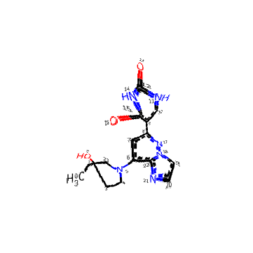 CC1(O)CCN(c2cc(-c3c[nH]c(=O)[nH]c3=O)nn3ccnc23)C1